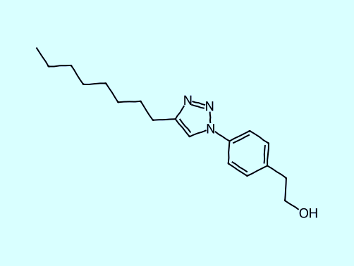 CCCCCCCCc1cn(-c2ccc(CCO)cc2)nn1